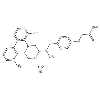 COC(=O)COc1ccc(CC(C)C2CN(c3c(O)cccc3-c3cccc(C(F)(F)F)c3)CCO2)cc1.Cl.O